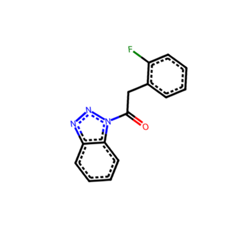 O=C(Cc1ccccc1F)n1nnc2ccccc21